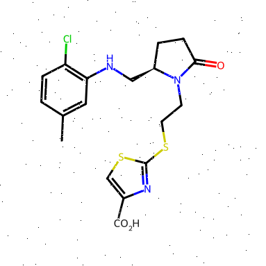 Cc1ccc(Cl)c(NC[C@H]2CCC(=O)N2CCSc2nc(C(=O)O)cs2)c1